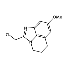 COc1cc2c3c(c1)nc(CCl)n3CCC2